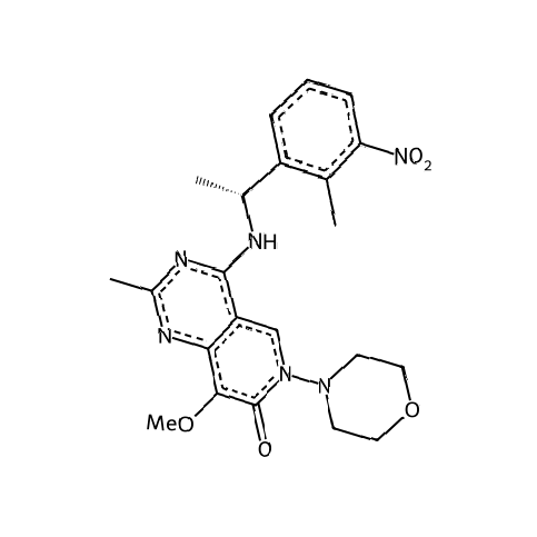 COc1c(=O)n(N2CCOCC2)cc2c(N[C@H](C)c3cccc([N+](=O)[O-])c3C)nc(C)nc12